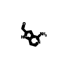 Nc1nccc2[nH]c(C=O)cc12